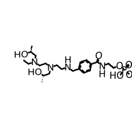 CCN(CCN(CCNCc1ccc(C(=O)NCCOP(=O)(O)O)cc1)C[C@H](C)O)C[C@H](C)O